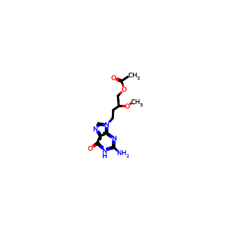 COC(CCn1cnc2c(=O)[nH]c(N)nc21)COC(C)=O